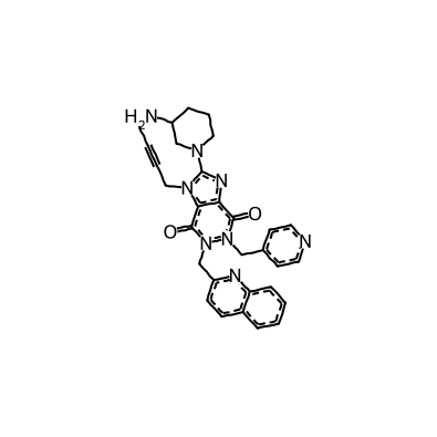 CC#CCn1c(N2CCCC(N)C2)nc2c(=O)n(Cc3ccncc3)n(Cc3ccc4ccccc4n3)c(=O)c21